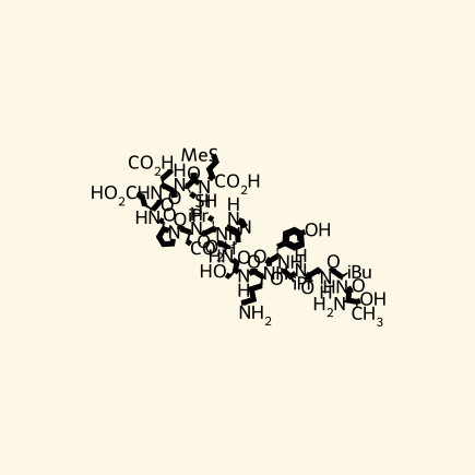 CC[C@H](C)[C@H](NC(=O)[C@@H](N)[C@@H](C)O)C(=O)NCC(=O)N[C@H](C(=O)N[C@@H](Cc1ccc(O)cc1)C(=O)N[C@@H](CCCCN)C(=O)N[C@@H](CO)C(=O)N[C@@H](Cc1c[nH]cn1)C(=O)N[C@@H](CC(C)C)C(=O)N[C@@H](CC(=O)O)C(=O)N1CCC[C@H]1C(=O)N[C@@H](CCC(=O)O)C(=O)N[C@@H](CCC(=O)O)C(=O)N[C@@H](CS)C(=O)N[C@@H](CCSC)C(=O)O)C(C)C